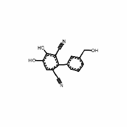 N#Cc1cc(O)c(O)c(C#N)c1-c1cccc(CO)c1